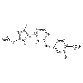 CCc1cc(Nc2nccc(-c3sc(COC)nc3C)n2)ccc1C(=O)O